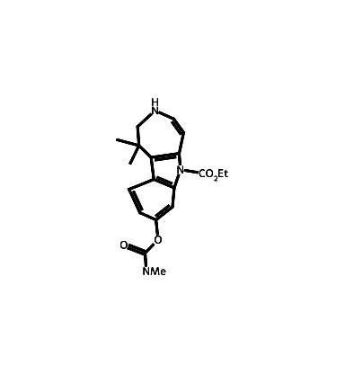 CCOC(=O)n1c2c(c3ccc(OC(=O)NC)cc31)C(C)(C)CNC=C2